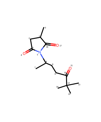 CC1CC(=O)N(C(C)CCC(=O)C(C)(C)C)C1=O